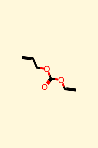 C=CCOC(=O)OC=C